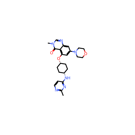 Cc1nccc(N[C@H]2CC[C@@H](Oc3cc(N4CCOCC4)cc4ncn(C)c(=O)c34)CC2)n1